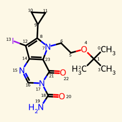 CC(C)(C)OCCn1c(C2CC2)c(I)c2ncn(C(N)=O)c(=O)c21